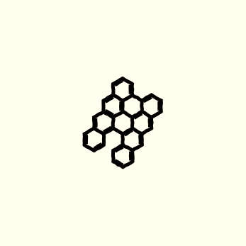 c1ccc2c(c1)cc1cc3cccc4c5cccc6cc7cc8ccccc8c8c7c(c65)c(c34)c1c28